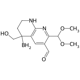 BC1(CO)CCNc2nc(C(OC)OC)c(C=O)cc21